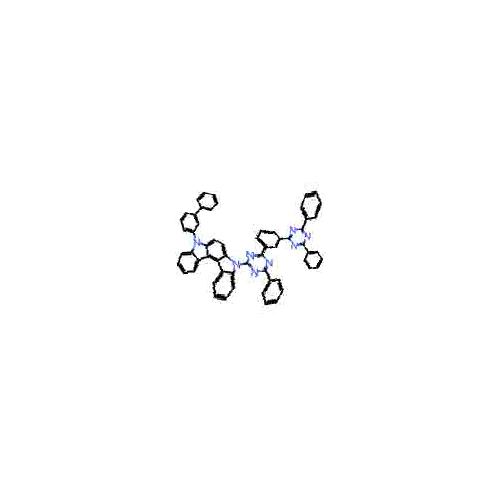 c1ccc(-c2cccc(-n3c4ccccc4c4c5c6ccccc6n(-c6nc(-c7ccccc7)nc(-c7cccc(-c8nc(-c9ccccc9)nc(-c9ccccc9)n8)c7)n6)c5ccc43)c2)cc1